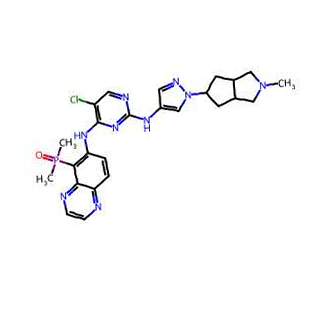 CN1CC2CC(n3cc(Nc4ncc(Cl)c(Nc5ccc6nccnc6c5P(C)(C)=O)n4)cn3)CC2C1